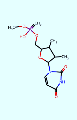 C=P(O)(OC)OCC1OC(n2ccc(=O)[nH]c2=O)C(C)C1C